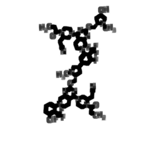 C=CC(=O)N1CCN(c2nc(OC[C@H]3C[C@H](O)CN3C)nc3c2CCN(c2cc(C4C[C@@H](COc5nc6c(c(N7CCN(C(=O)C=C)C(CC#N)C7)n5)CCN(c5cccc(Cl)c5C(F)(F)F)C6)N(C)C4)cc(F)c2C(F)(F)F)C3)CC1CC#N